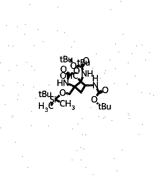 CC(C)(C)OC(=O)NC1CC(CO[Si](C)(C)C(C)(C)C)(NC(=O)OC(C)(C)C)C1(C=O)NC(=O)OC(C)(C)C